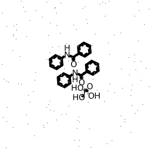 O=C(Nc1ccccc1)c1ccccc1.O=C(Nc1ccccc1)c1ccccc1.O=P(O)(O)O